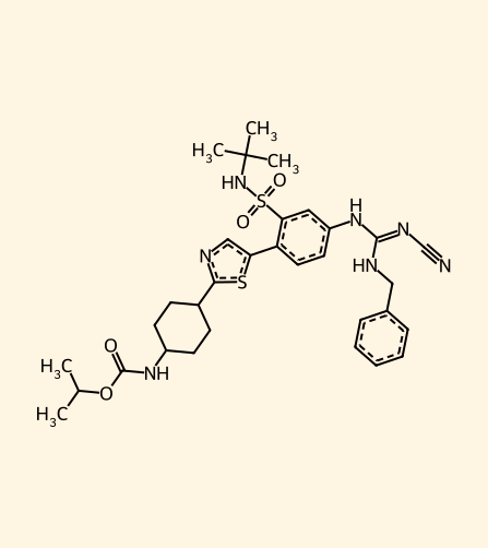 CC(C)OC(=O)NC1CCC(c2ncc(-c3ccc(N/C(=N/C#N)NCc4ccccc4)cc3S(=O)(=O)NC(C)(C)C)s2)CC1